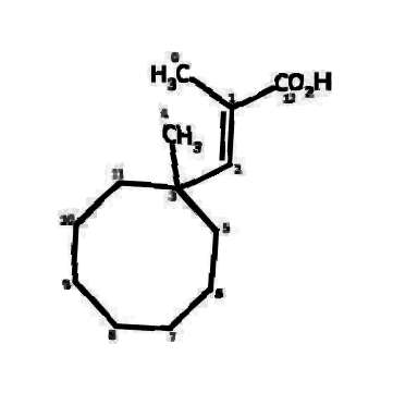 CC(=CC1(C)CCCCCCC1)C(=O)O